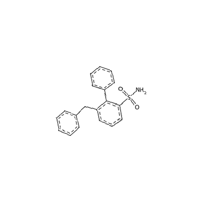 NS(=O)(=O)c1cccc(Cc2ccccc2)c1-c1ccccc1